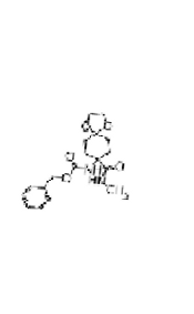 CNC(=O)C1(NC(=O)OCc2ccccc2)CCC2(CC1)OCCO2